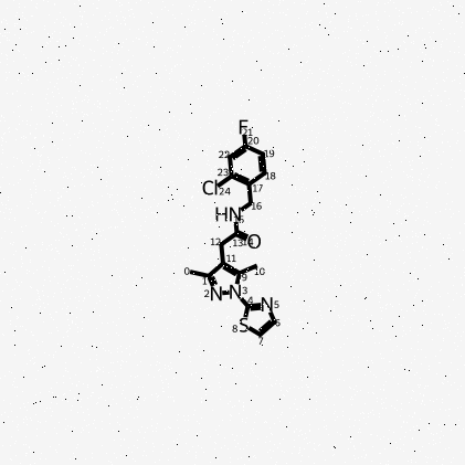 Cc1nn(-c2nccs2)c(C)c1CC(=O)NCc1ccc(F)cc1Cl